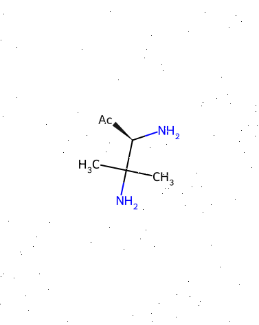 CC(=O)[C@@H](N)C(C)(C)N